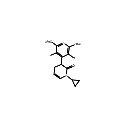 COc1nc(OC)c(F)c(C2CC=CN(C3CC3)C2=O)c1F